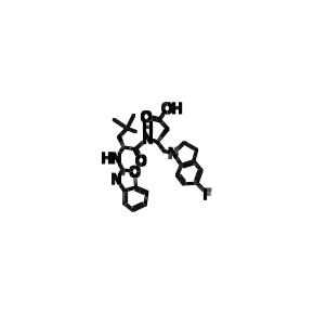 CC(C)(C)C[C@H](Nc1nc2ccccc2o1)C(=O)N[C@@H](CC(=O)O)CN1CCc2cc(F)ccc21